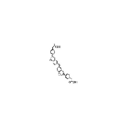 C=C(O)Cc1ccc(N2COc3ccc(Sc4ccc5c(c4)CN(c4ccc(CC(=O)O)cc4)CO5)cc3C2)cc1